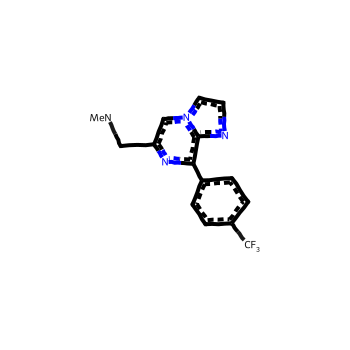 CNCc1cn2ccnc2c(-c2ccc(C(F)(F)F)cc2)n1